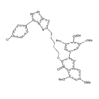 COc1cc(OC)c2c(=O)c(OCCCCSc3nn4c(-c5ccc(Cl)cc5)nnc4s3)c(-c3cc(OC)c(OC)c(OC)c3)oc2c1